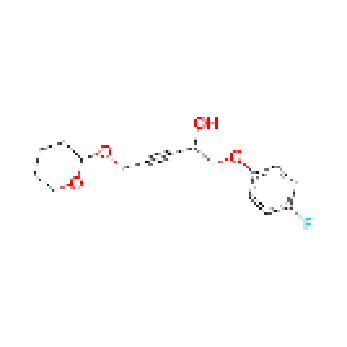 OC(C#CCOC1CCCCO1)COc1ccc(F)cc1